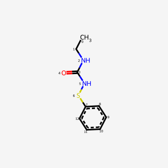 CCNC(=O)NSc1ccccc1